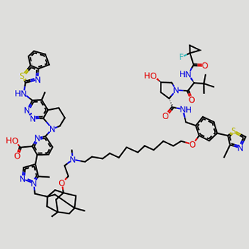 Cc1ncsc1-c1ccc(CNC(=O)[C@@H]2C[C@@H](O)CN2C(=O)[C@@H](NC(=O)C2(F)CC2)C(C)(C)C)c(OCCCCCCCCCCCCN(C)CCOC23CC4(C)CC(C)(CC(Cn5ncc(-c6ccc(N7CCCc8c7nnc(Nc7nc9ccccc9s7)c8C)nc6C(=O)O)c5C)(C4)C2)C3)c1